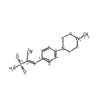 CN1CCN(c2ccc(/C=C(\C#N)S(N)(=O)=O)cc2)CC1